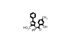 Cc1ccc(C(=O)N(c2cc(-c3ccccc3)sc2C(=O)O)C(C)C)c(O)c1